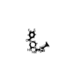 N=C1CN(C(=O)c2ccc(F)c(F)c2)CCN1C(=N)c1nc(C2CC2)ns1